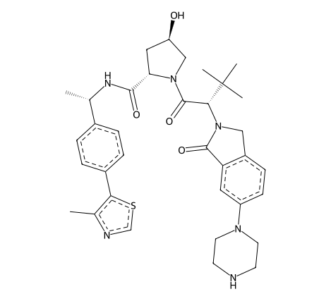 Cc1ncsc1-c1ccc([C@H](C)NC(=O)[C@@H]2C[C@@H](O)CN2C(=O)[C@@H](N2Cc3ccc(N4CCNCC4)cc3C2=O)C(C)(C)C)cc1